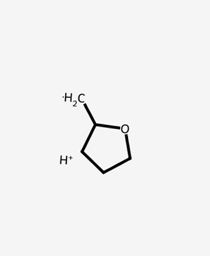 [CH2]C1CCCO1.[H+]